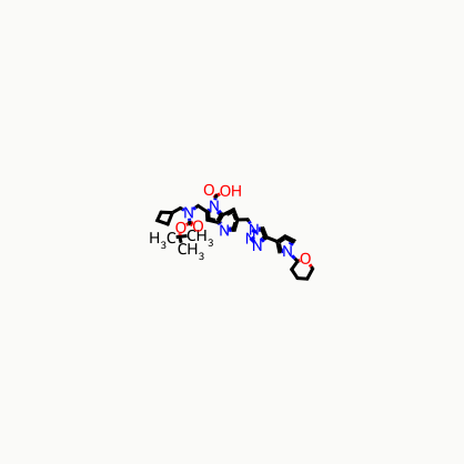 CC(C)(C)OC(=O)N(Cc1cc2ncc(Cn3cc(-c4ccn(C5CCCCO5)c4)nn3)cc2n1C(=O)O)CC1CCC1